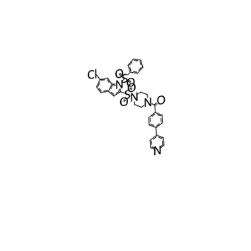 O=C(c1ccc(-c2ccncc2)cc1)N1CCN(S(=O)(=O)c2cc3ccc(Cl)cc3n2S(=O)(=O)c2ccccc2)CC1